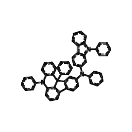 c1ccc(N(c2ccc3c(c2)C2(c4ccccc4)c4ccccc4N(c4ccccc4)c4cccc-3c42)c2ccc3c4ccccc4n(-c4ccccc4)c3c2)cc1